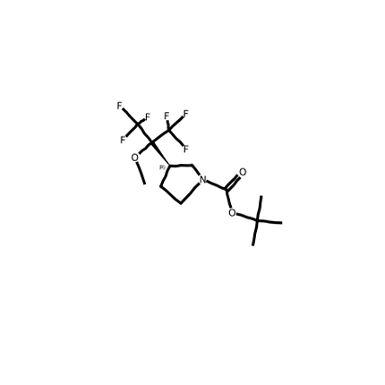 COC([C@@H]1CCN(C(=O)OC(C)(C)C)C1)(C(F)(F)F)C(F)(F)F